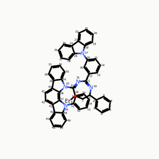 CCC1CC(c2ccccc2)N=C(c2cccc(-n3c4ccccc4c4ccccc43)c2)N=C1n1c2ccccc2c2ccc3c4ccccc4n(-c4ccccc4)c3c21